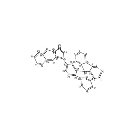 c1ccc2c(c1)-c1ccccc1C21c2ccccc2-c2ccc(-c3cnn4cc5ccccc5cc34)cc21